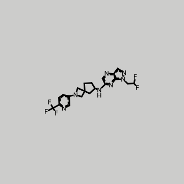 FC(F)Cn1ncc2ncc(NC3CCC4(C3)CN(c3ccc(C(F)(F)F)nc3)C4)nc21